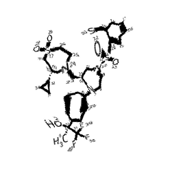 C[C@](O)(c1ccc(N2CCN(S(=O)(=O)C3=CC=CCC3=S)C[C@@H]2CN2CCS(=O)(=O)C[C@H]2C2CC2)cc1)C(F)(F)F